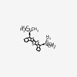 CC[Si](C#CC1=c2sc3c(sc4c5c(sc43)=C(C#CS(CC)(CC)CC)c3ccccc3-5)c2-c2ccccc21)(CC)CC